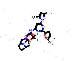 Cc1cc(C)n(-c2cc(NC(=O)CN3CCC4CCC(C3)N4C(=O)OC(C)(C)C)nc(-c3ccc(C)o3)n2)n1